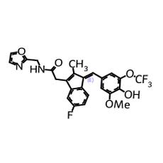 COc1cc(/C=C2/C(C)=C(CC(=O)NCc3ncco3)c3cc(F)ccc32)cc(OC(F)(F)F)c1O